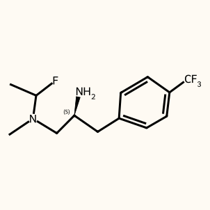 CC(F)N(C)C[C@@H](N)Cc1ccc(C(F)(F)F)cc1